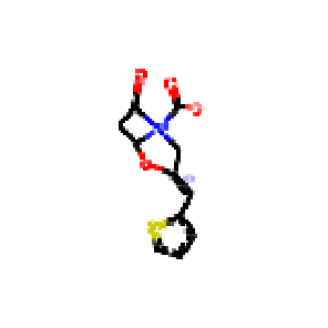 O=C([O-])[N+]12C/C(=C/c3cccs3)OC1CC2=O